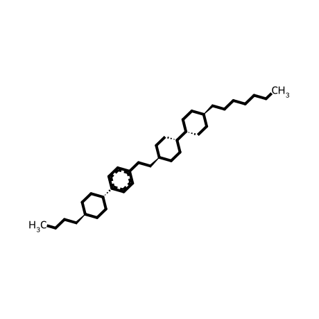 CCCCCCC[C@H]1CC[C@H]([C@H]2CC[C@H](CCc3ccc([C@H]4CC[C@H](CCCC)CC4)cc3)CC2)CC1